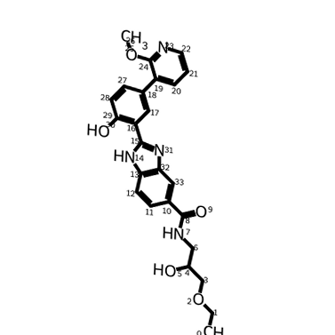 CCOCC(O)CNC(=O)c1ccc2[nH]c(-c3cc(-c4cccnc4OC)ccc3O)nc2c1